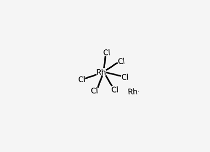 [Cl][Rh]([Cl])([Cl])([Cl])([Cl])[Cl].[Rh]